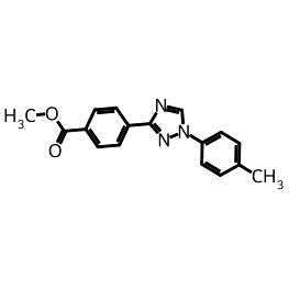 COC(=O)c1ccc(-c2ncn(-c3ccc(C)cc3)n2)cc1